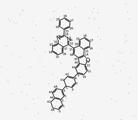 C1=Cc2cc(C3C=CC(c4ccc5oc6c7ccccc7c(-c7nc(-c8ccccc8)nc8ccccc78)cc6c5c4)=CC3)ccc2CC1